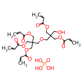 C=CC(=O)OCC(CO)(COCC(COC(=O)C=C)(COC(=O)C=C)COC(=O)C=C)COC(=O)C=C.O=P(O)(O)O